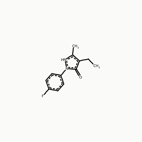 CCc1c(C)[nH]n(-c2ccc(F)cc2)c1=O